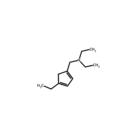 CCC1=CC=C(CN(CC)CC)C1